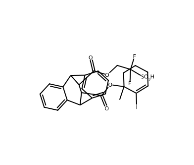 CC1(OC(=O)C2C3c4cccc(c4)C(c4ccccc43)C2C(=O)OCC(F)(F)S(=O)(=O)O)CCCC=C1I